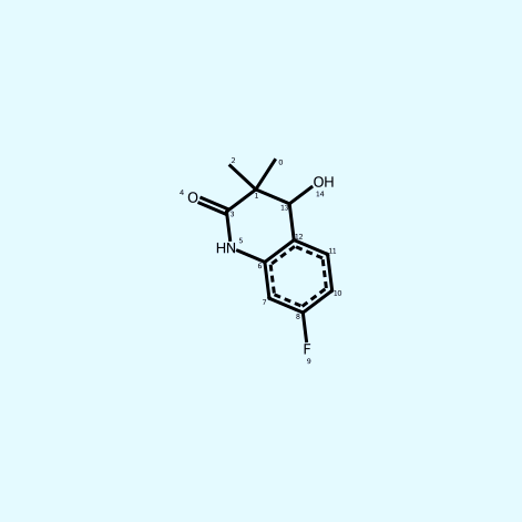 CC1(C)C(=O)Nc2cc(F)ccc2C1O